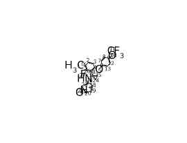 Cc1ccc(Oc2ccc(OC(F)(F)F)cc2)c(C2(Nc3ccc[n+]([O-])c3)CC2)c1F